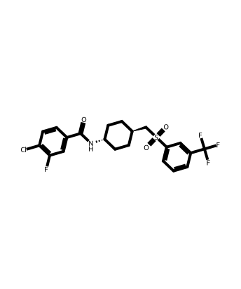 O=C(N[C@H]1CC[C@H](CS(=O)(=O)c2cccc(C(F)(F)F)c2)CC1)c1ccc(Cl)c(F)c1